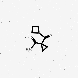 NC(=O)C1(C(=O)N2CCC2)CC1